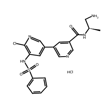 C[C@H](CN)NC(=O)c1cncc(-c2cnc(Cl)c(NS(=O)(=O)c3ccccc3)c2)c1.Cl